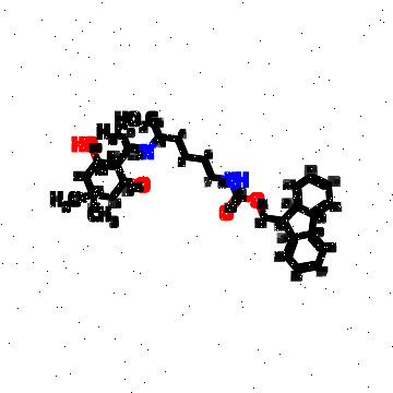 CC(=NC(CCCCNC(=O)OCC1c2ccccc2-c2ccccc21)C(=O)O)C1=C(O)CC(C)(C)CC1=O